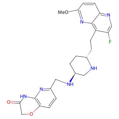 COc1ccc2ncc(F)c(CC[C@H]3CC[C@H](NCc4ccc5c(n4)NC(=O)CO5)CN3)c2n1